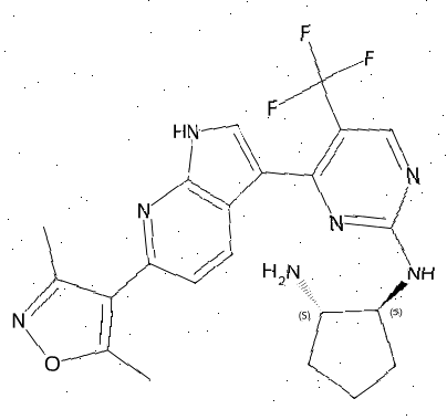 Cc1noc(C)c1-c1ccc2c(-c3nc(N[C@H]4CCC[C@@H]4N)ncc3C(F)(F)F)c[nH]c2n1